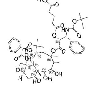 CC(=O)O[C@@]12CO[C@@H]1C[C@H](O)[C@@]1(C)[C@H](O)[C@H](O)C(C)[C@](C)(OC(=O)[C@H](OC(=O)CCCC(=O)O)C(NC(=O)OC(C)(C)C)c3ccccc3)C[C@](O)(C(C)(C)C)[C@@H](OC(=O)c3ccccc3)[C@H]21